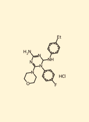 CCc1ccc(NC2N=C(N)N=C(N3CCOCC3)N2c2ccc(F)cc2)cc1.Cl